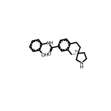 O=C(Nc1ccccc1O)c1ccc2c(c1)C[C@@]1(CCNC1)CC2